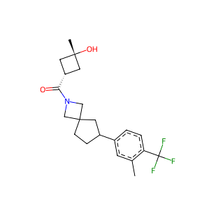 Cc1cc(C2CCC3(C2)CN(C(=O)[C@H]2C[C@@](C)(O)C2)C3)ccc1C(F)(F)F